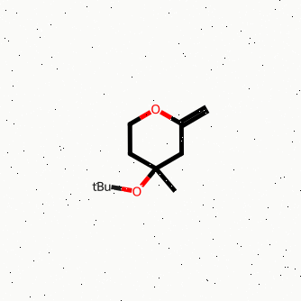 C=C1CC(C)(OC(C)(C)C)CCO1